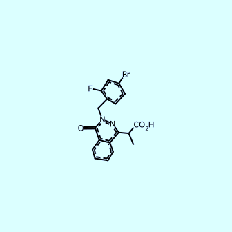 CC(C(=O)O)c1nn(Cc2ccc(Br)cc2F)c(=O)c2ccccc12